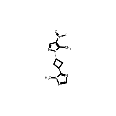 Cc1c([N+](=O)[O-])cnn1[C@H]1C[C@H](c2ncnn2C)C1